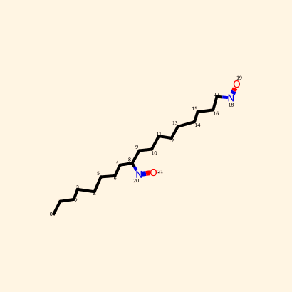 CCCCCCCCC(CCCCCCCCCN=O)N=O